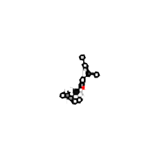 CC1(C)c2ccccc2-c2nc3ccc4ccccc4c3c(-c3ccc(-c4ccc5cc(-c6cc(-c7ccccc7)nc(-c7ccc(-c8ccccc8)cc7)n6)ccc5c4)cc3)c21